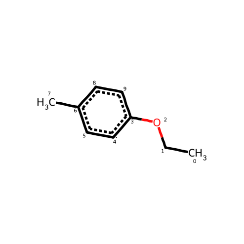 CCOc1[c]cc(C)cc1